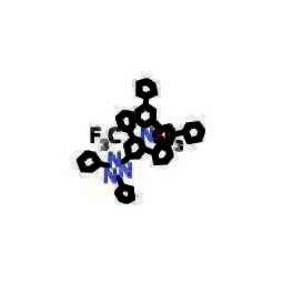 FC(F)(F)c1ccccc1-c1cc(-c2nc(-c3ccccc3)nc(-c3ccccc3)n2)cc(-c2ccccc2C(F)(F)F)c1-n1c2ccc(-c3ccccc3)cc2c2cc(-c3ccccc3)ccc21